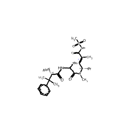 CN[C@H](C(=O)NC(C(=O)N(C)[C@H](/C=C(\C)C(=O)NS(C)(=O)=O)C(C)C)C(C)(C)C)C(C)(C)c1ccccc1